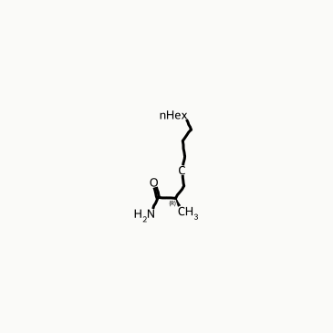 CCCCCCCCCCC[C@@H](C)C(N)=O